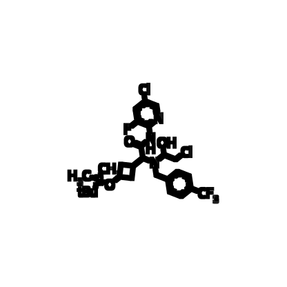 CC(C)(C)[Si](C)(C)OC1CC(C(C(=O)Nc2ncc(Cl)cc2F)N(Cc2ccc(C(F)(F)F)cc2)C(O)CCl)C1